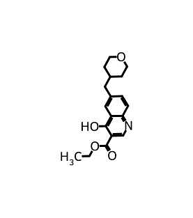 CCOC(=O)c1cnc2ccc(CC3CCOCC3)cc2c1O